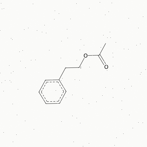 CC(=O)O[C]Cc1ccccc1